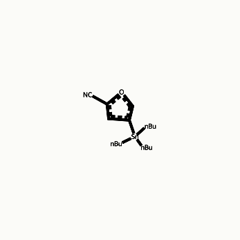 CCC[CH2][Sn]([CH2]CCC)([CH2]CCC)[c]1coc(C#N)c1